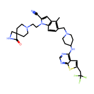 Cc1c(CN2CCC(Nc3ncnc4sc(CC(F)(F)F)cc34)CC2)ccc2c1cc(C#N)n2CCN1CCC2(CC1)CNC2=O